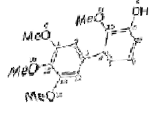 COc1cc(-c2cc[c]c(O)c2OC)cc(OC)c1OC